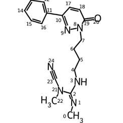 CN=C(NCCCCn1nc(-c2ccccc2)ccc1=O)N(C)C#N